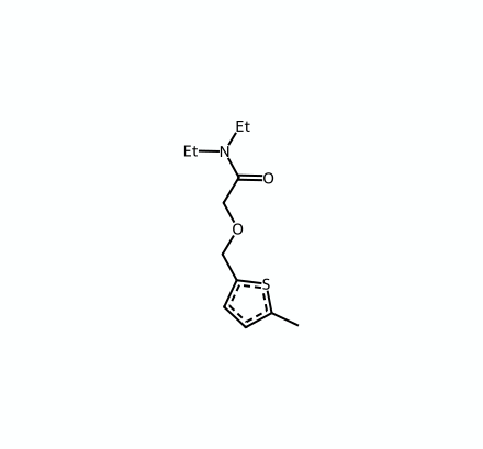 CCN(CC)C(=O)COCc1ccc(C)s1